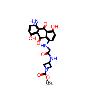 CC(C)(C)OC(=O)N1CC(NC(=O)CNc2ccc(O)c3c2C(=O)c2c(O)ccc(N)c2C3=O)C1